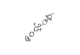 CCc1cnc(N2CCC(COc3c(F)cc(-c4ccc(-c5ncco5)cc4)cc3F)CC2)nc1